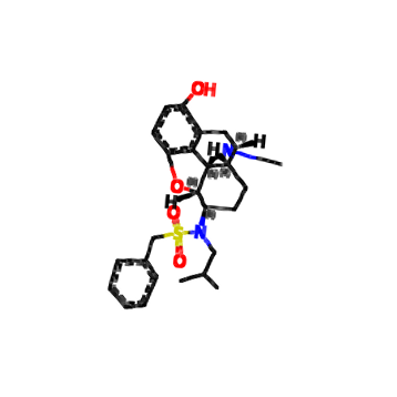 CC(C)CN([C@@H]1CC[C@H]2[C@H]3Cc4c(O)ccc5c4[C@@]2(CCN3C)[C@H]1O5)S(=O)(=O)Cc1ccccc1